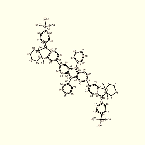 CC12CCCCC1(C)N(c1ccc(C(F)(F)F)cc1)c1ccc(-c3ccc4c(-c5ccccc5)c5cc(-c6ccc7c(c6)C6(C)CCCCC6(C)N7c6ccc(C(F)(F)F)cc6)ccc5c(-c5ccccc5)c4c3)cc12